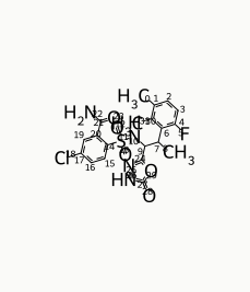 Cc1ccc(F)c(C(C)C(NS(=O)(=O)c2ccc(Cl)cc2C(N)=O)c2n[nH]c(=O)o2)c1C